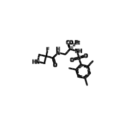 CCOC(=O)[C@H](CNC(=O)C1(F)CNC1)NS(=O)(=O)c1c(C)cc(C)cc1C